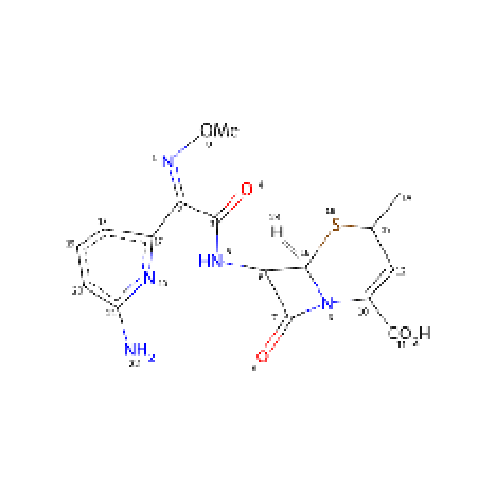 CO/N=C(\C(=O)NC1C(=O)N2C(C(=O)O)=CC(C)S[C@H]12)c1cccc(N)n1